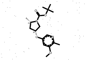 COc1cc(O[C@@H]2C[C@H](C)N(C(=O)OC(C)(C)C)C2)cnc1C